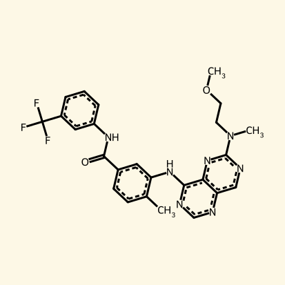 COCCN(C)c1ncc2ncnc(Nc3cc(C(=O)Nc4cccc(C(F)(F)F)c4)ccc3C)c2n1